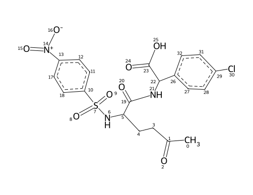 CC(=O)CCC(NS(=O)(=O)c1ccc([N+](=O)[O-])cc1)C(=O)NC(C(=O)O)c1ccc(Cl)cc1